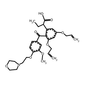 C=CCOc1cc(OCC=C)c(C(=O)c2ccc(OCCN3CCOCC3)c(OC)c2)c(C(CC)C(=O)O)c1